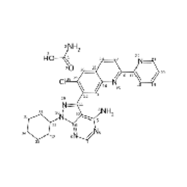 NC(=O)O.Nc1ncnc2c1c(-c1cc3nc(-c4ccccn4)ccc3cc1Cl)nn2C1CCCCC1